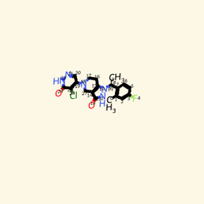 Cc1cc(F)ccc1[C@@H](C)n1[nH]c(=O)c2c1CCN(c1cn[nH]c(=O)c1Cl)C2